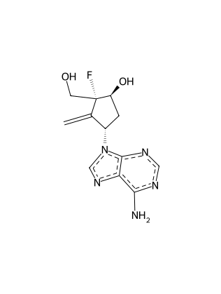 C=C1[C@@H](n2cnc3c(N)ncnc32)C[C@H](O)[C@]1(F)CO